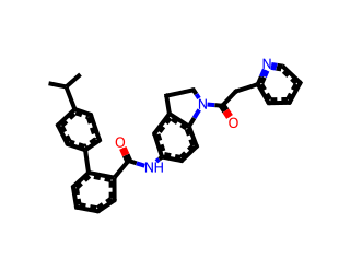 CC(C)c1ccc(-c2ccccc2C(=O)Nc2ccc3c(c2)CCN3C(=O)Cc2ccccn2)cc1